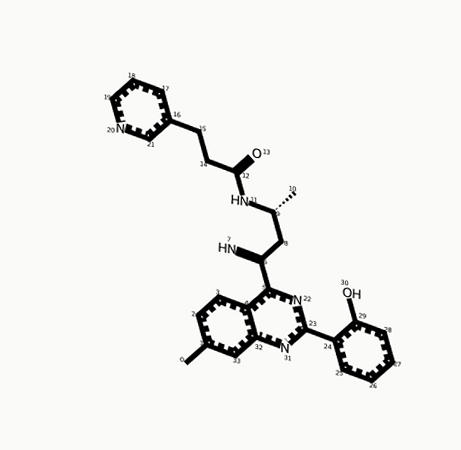 Cc1ccc2c(C(=N)C[C@@H](C)NC(=O)CCc3cccnc3)nc(-c3ccccc3O)nc2c1